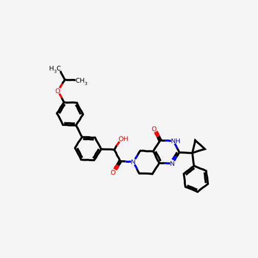 CC(C)Oc1ccc(-c2cccc(C(O)C(=O)N3CCc4nc(C5(c6ccccc6)CC5)[nH]c(=O)c4C3)c2)cc1